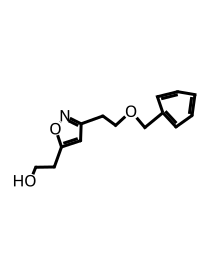 OCCc1cc(CCOCc2ccccc2)no1